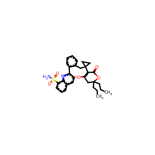 CCCC1(CCC)CC(O)=C(C2(Cc3ccccc3-c3ccc4cccc(S(N)(=O)=O)c4n3)CC2)C(=O)O1